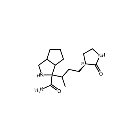 CC(CC[C@H]1CCNC1=O)C1(C(N)=O)NCC2CCCC21